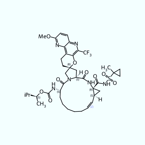 COc1ccc2nc(C(F)(F)F)c3c(c2n1)CC[C@]1(C[C@H]2C(=O)N[C@]4(C(=O)NS(=O)(=O)C5(C)CC5)C[C@H]4/C=C\CCCCC[C@H](NC(=O)O[C@@H](C)C(C)C)C(=O)N2C1)O3